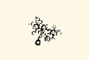 CC(=O)N[C@@H]1[C@@H](OC(C)CN(C(=O)CC[C@@H](NC(=O)[C@H](C)N)C(N)=O)[C@@H](CO)C(=O)OCc2ccccc2)[C@H](O)[C@@H](CO)O[C@@H]1O